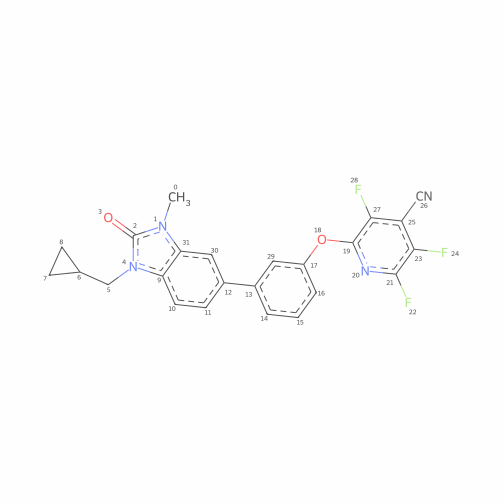 Cn1c(=O)n(CC2CC2)c2ccc(-c3cccc(Oc4nc(F)c(F)c(C#N)c4F)c3)cc21